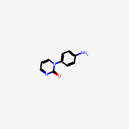 Nc1ccc(-n2cccnc2=O)cc1